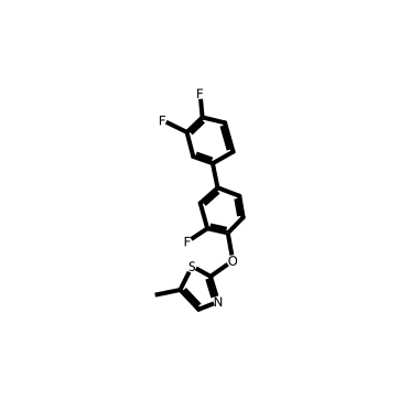 Cc1cnc(Oc2ccc(-c3ccc(F)c(F)c3)cc2F)s1